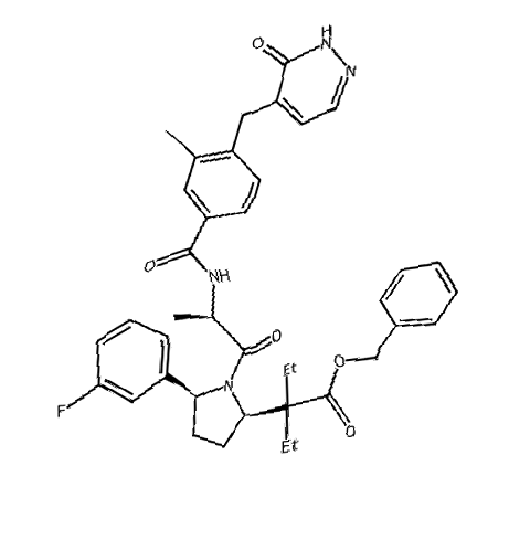 CCC(CC)(C(=O)OCc1ccccc1)[C@H]1CC[C@@H](c2cccc(F)c2)N1C(=O)[C@@H](C)NC(=O)c1ccc(Cc2ccn[nH]c2=O)c(C)c1